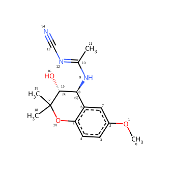 COc1ccc2c(c1)[C@H](NC(C)=NC#N)[C@@H](O)C(C)(C)O2